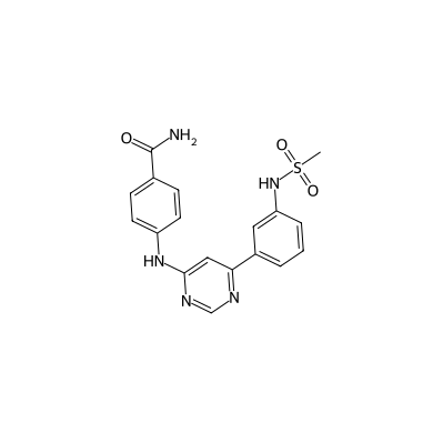 CS(=O)(=O)Nc1cccc(-c2cc(Nc3ccc(C(N)=O)cc3)ncn2)c1